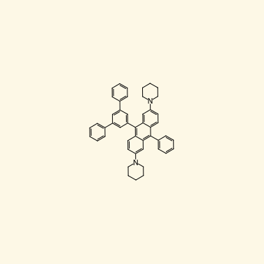 c1ccc(-c2cc(-c3ccccc3)cc(-c3c4ccc(N5CCCCC5)cc4c(-c4ccccc4)c4ccc(N5CCCCC5)cc34)c2)cc1